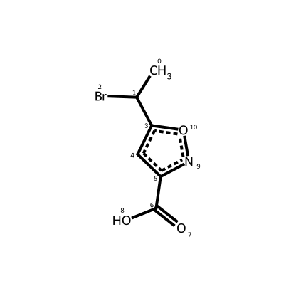 CC(Br)c1cc(C(=O)O)no1